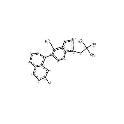 Cc1c(-c2nccc3cnc(Cl)cc23)ccc2c1cnn2CC(C)(C)O